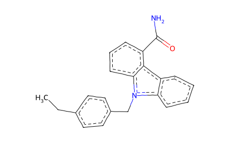 CCc1ccc(Cn2c3ccc[c]c3c3c(C(N)=O)cccc32)cc1